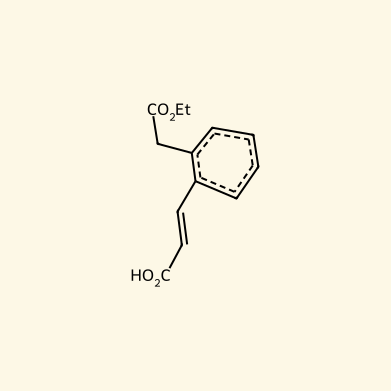 CCOC(=O)Cc1ccccc1/C=C/C(=O)O